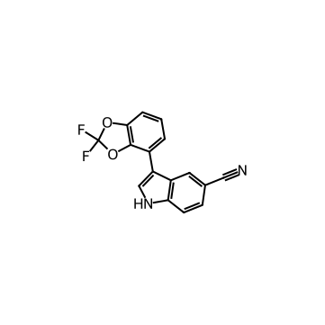 N#Cc1ccc2[nH]cc(-c3cccc4c3OC(F)(F)O4)c2c1